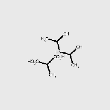 CC(C(=O)O)C(=O)O.CC(O)NC(C)O